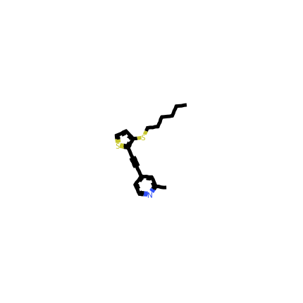 CCCCCCSc1ccsc1C#Cc1ccnc(C)c1